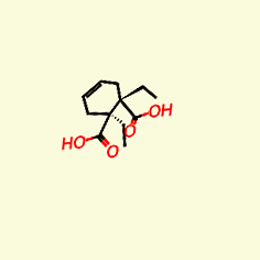 CC[C@]1(C(=O)O)CC=CC[C@]1(CC)C(=O)O